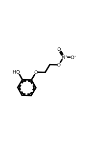 O=[N+]([O-])OCCOc1ccccc1O